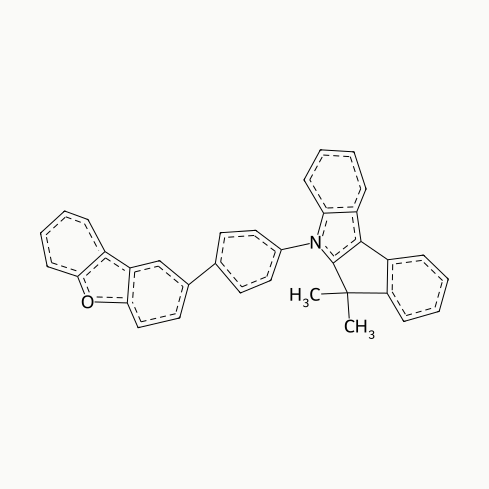 CC1(C)c2ccccc2-c2c1n(-c1ccc(-c3ccc4oc5ccccc5c4c3)cc1)c1ccccc21